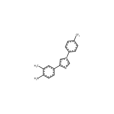 Cc1cc(-c2cn(-c3ccc(C(F)(F)F)cc3)cn2)ccc1N